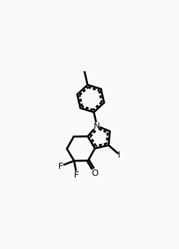 Cc1ccc(-n2cc(I)c3c2CCC(F)(F)C3=O)cc1